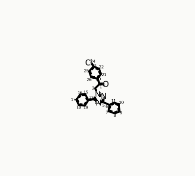 O=C(Cn1nc(-c2ccccc2)nc1-c1ccccc1)c1ccc(Cl)cc1